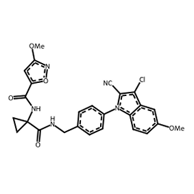 COc1ccc2c(c1)c(Cl)c(C#N)n2-c1ccc(CNC(=O)C2(NC(=O)c3cc(OC)no3)CC2)cc1